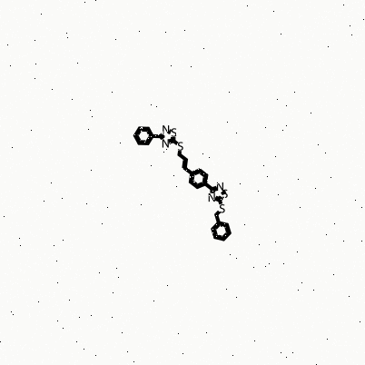 C(=C\c1ccc(-c2nsc(SCc3ccccc3)n2)cc1)/CSc1nc(-c2ccccc2)ns1